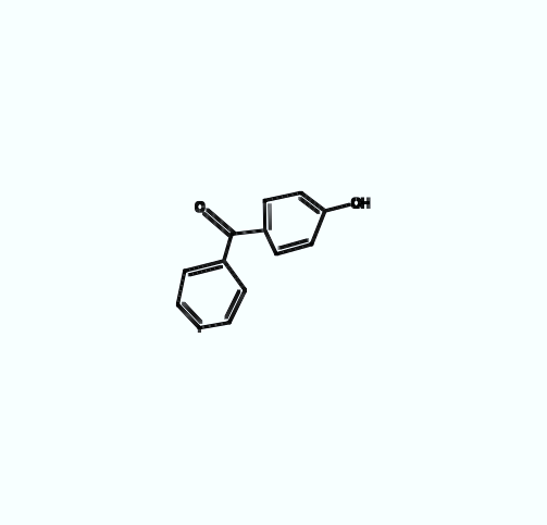 O=C(c1cc[c]cc1)c1ccc(O)cc1